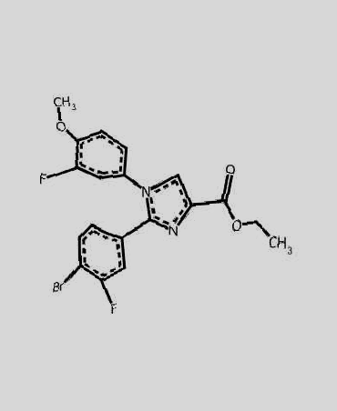 CCOC(=O)c1cn(-c2ccc(OC)c(F)c2)c(-c2ccc(Br)c(F)c2)n1